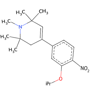 CC(C)Oc1cc(C2=CC(C)(C)N(C)C(C)(C)C2)ccc1[N+](=O)[O-]